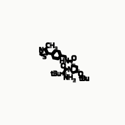 Cc1ncsc1-c1ccc(CNC(=O)[C@@H]2C[C@@H](OC(C)(C)C)CN2C(=O)[C@@H](N)C(C)(C)C)cc1